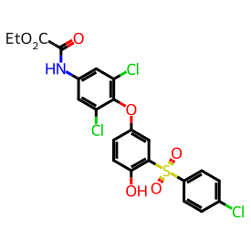 CCOC(=O)C(=O)Nc1cc(Cl)c(Oc2ccc(O)c(S(=O)(=O)c3ccc(Cl)cc3)c2)c(Cl)c1